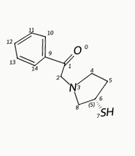 O=C(CN1CC[C@H](S)C1)c1ccccc1